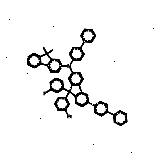 CCc1cccc(C2(c3cccc(F)c3)c3ccc(-c4ccc(-c5ccccc5)cc4)cc3-c3ccc(N(c4ccc(-c5ccccc5)cc4)c4ccc5c(c4)C(C)(C)c4ccccc4-5)cc32)c1